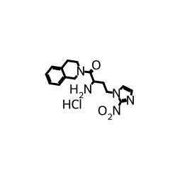 Cl.NC(CCn1ccnc1[N+](=O)[O-])C(=O)N1CCc2ccccc2C1